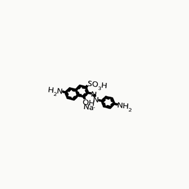 Nc1ccc(N=Nc2c(S(=O)(=O)O)cc3cc(N)ccc3c2O)cc1.[Na]